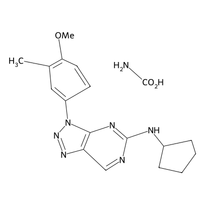 COc1ccc(-n2nnc3cnc(NC4CCCC4)nc32)cc1C.NC(=O)O